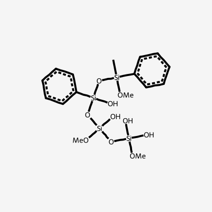 CO[Si](O)(O)O[Si](O)(OC)O[Si](O)(O[Si](C)(OC)c1ccccc1)c1ccccc1